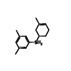 CC1=CCCC([SiH2]c2cc(C)cc(C)c2)C1